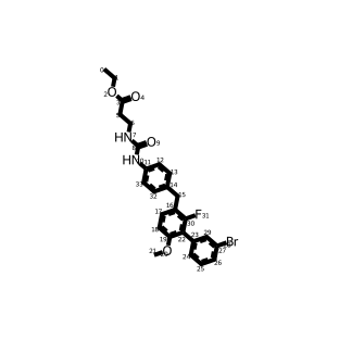 CCOC(=O)CCNC(=O)Nc1ccc(Cc2ccc(OC)c(-c3cccc(Br)c3)c2F)cc1